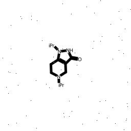 CC(C)N1CCc2c(c(=O)[nH]n2C(C)C)C1